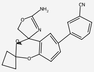 N#Cc1cccc(-c2ccc3c(c2)C2(COC(N)=N2)C2(COC2)C2(CCC2)O3)c1